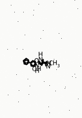 Cn1cc(-c2c[nH]c(=O)c(N[C@@H]3CC[C@H](c4ccccc4)CC3O)c2)cn1